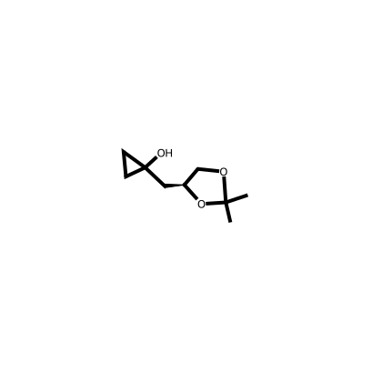 CC1(C)OC[C@H](CC2(O)CC2)O1